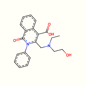 CCN(CCO)Cc1c(C(=O)O)c2ccccc2c(=O)n1-c1ccccc1